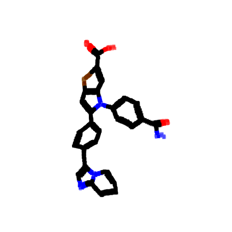 NC(=O)c1ccc(-n2c(-c3ccc(-c4cnc5ccccn45)cc3)cc3sc(C(=O)O)cc32)cc1